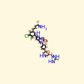 CC(=N)NCC[C@H]1CNC[C@@H](c2ccc(-n3cc4cc(-c5cc(CCC[C@H](C)N)cc(Cl)c5F)[nH]c4nc3=O)cc2)O1